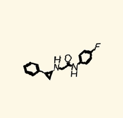 O=C(CN[C@@H]1C[C@H]1c1ccccc1)Nc1ccc(F)cc1